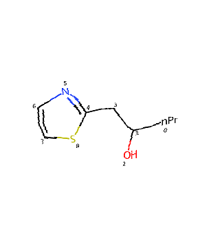 CCCC(O)Cc1nccs1